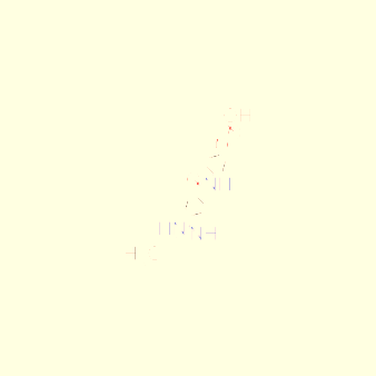 CCCCNC(=N)c1ccc(C(=O)Nc2ccc3c(c2)CCC(CC(=O)O)O3)cc1